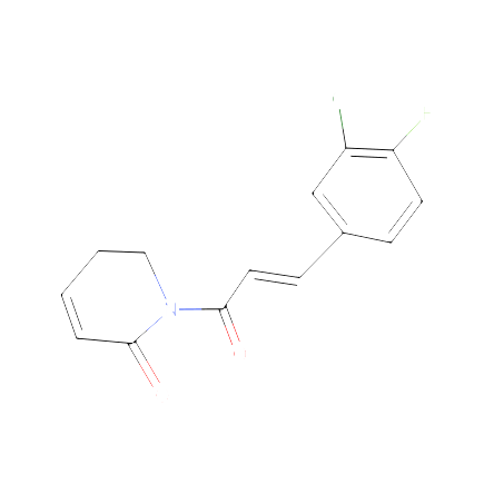 O=C1C=CCCN1C(=O)/C=C/c1ccc(F)c(Cl)c1